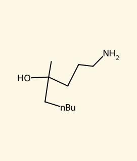 CCCCCC(C)(O)CCCN